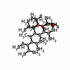 BBB(B)B(B(C)B(B(C)B(B(B)B)B(BB)B(B)B)B(B(B)B)B(B(B)B)B(B)B)B(B(B)B)B(B)B